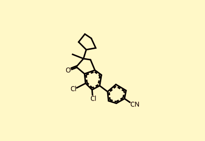 CC1(C2CCCC2)Cc2cc(-c3ccc(C#N)cc3)c(Cl)c(Cl)c2C1=O